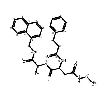 CC(C)[C@H](NC(=O)[C@H](CC(=O)NOC(C)(C)C)NC(=O)CCc1ccccc1)C(=O)NCc1cccc2ccccc12